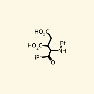 CCNC(C(=O)C(C)C)C(CC(=O)O)C(=O)O